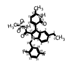 CCc1ccc2c(c1)c(-c1ccc(C)[nH]c1=O)c(C(=O)NS(C)(=O)=O)n2Cc1cc(F)ccc1F